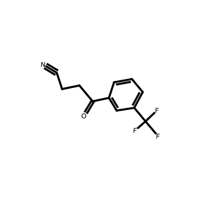 N#CCCC(=O)c1cccc(C(F)(F)F)c1